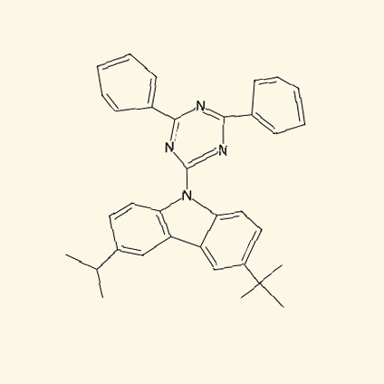 CC(C)c1ccc2c(c1)c1cc(C(C)(C)C)ccc1n2-c1nc(-c2ccccc2)nc(-c2ccccc2)n1